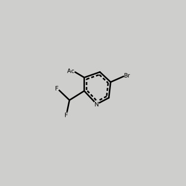 CC(=O)c1cc(Br)cnc1C(F)F